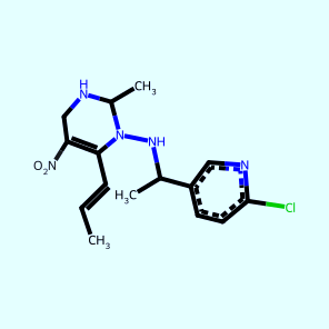 CC=CC1=C([N+](=O)[O-])CNC(C)N1NC(C)c1ccc(Cl)nc1